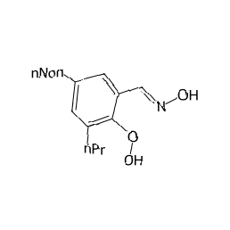 CCCCCCCCCc1cc(C=NO)c(OO)c(CCC)c1